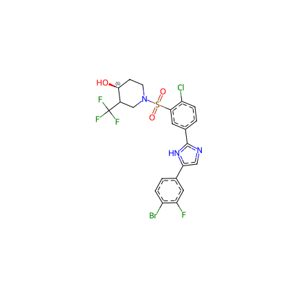 O=S(=O)(c1cc(-c2ncc(-c3ccc(Br)c(F)c3)[nH]2)ccc1Cl)N1CC[C@H](O)C(C(F)(F)F)C1